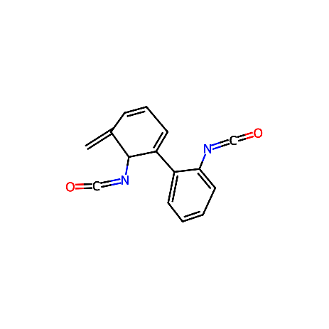 C=C1C=CC=C(c2ccccc2N=C=O)C1N=C=O